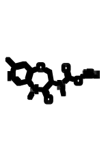 Cc1cc2c(cn1)N(C)C(=O)[C@H](N(C)C(=O)OC(C)(C)C)CO2